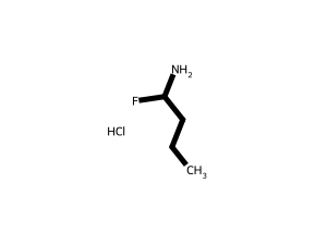 CCCC(N)F.Cl